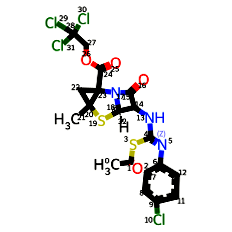 CC(=O)S/C(=N\c1ccc(Cl)cc1)NC1C(=O)N2[C@@H]1SC1(C)CC21C(=O)OCC(Cl)(Cl)Cl